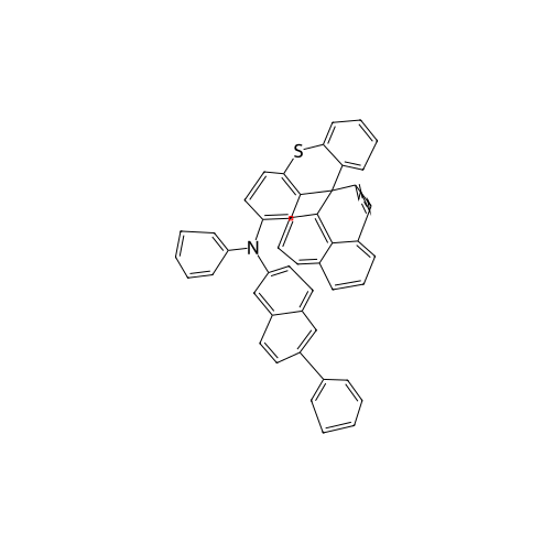 c1ccc(-c2ccc3cc(N(c4ccccc4)c4ccc5c(c4)C4(c6ccccc6S5)c5ccccc5-c5cccc6cccc4c56)ccc3c2)cc1